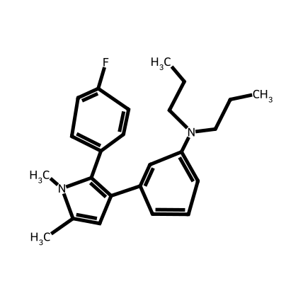 CCCN(CCC)c1cccc(-c2cc(C)n(C)c2-c2ccc(F)cc2)c1